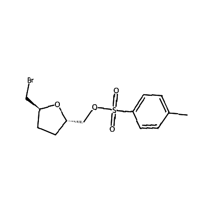 Cc1ccc(S(=O)(=O)OC[C@@H]2CC[C@@H](CBr)O2)cc1